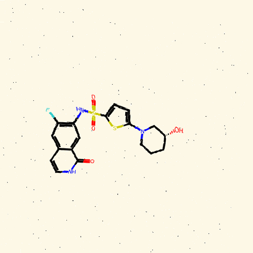 O=c1[nH]ccc2cc(F)c(NS(=O)(=O)c3ccc(N4CCC[C@@H](O)C4)s3)cc12